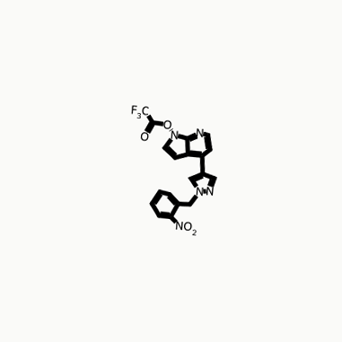 O=C(On1ccc2c(-c3cnn(Cc4ccccc4[N+](=O)[O-])c3)ccnc21)C(F)(F)F